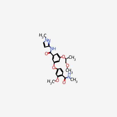 CNC(=O)c1ccc(Oc2cc(O[C@@H](C)COC)cc(C(=O)Nc3ccn(C)n3)c2)cc1OC